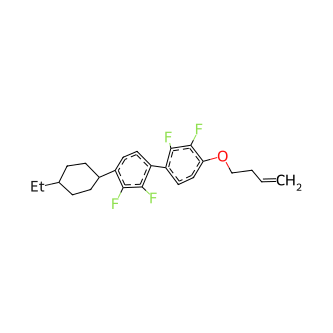 C=CCCOc1ccc(-c2ccc(C3CCC(CC)CC3)c(F)c2F)c(F)c1F